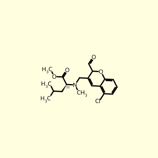 COC(=O)[C@H](CC(C)C)N(C)CC1=Cc2c(Cl)cccc2OC1C=O